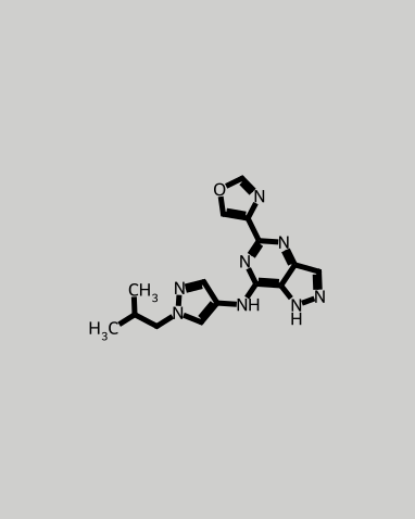 CC(C)Cn1cc(Nc2nc(-c3cocn3)nc3cn[nH]c23)cn1